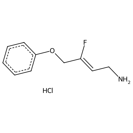 Cl.NC/C=C(\F)COc1ccccc1